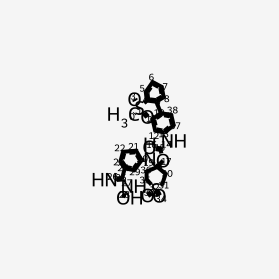 CS(=O)(=O)c1ccccc1-c1ccc(NC(=O)OC2(Nc3cccc(C(=N)NO)c3)CCS(=O)(=O)CC2)cc1